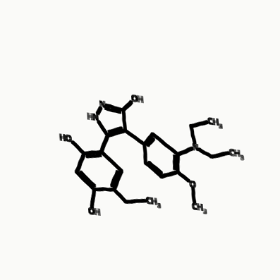 CCc1cc(-c2[nH]nc(O)c2-c2ccc(OC)c(N(CC)CC)c2)c(O)cc1O